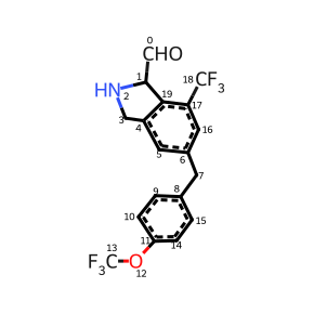 O=CC1NCc2cc(Cc3ccc(OC(F)(F)F)cc3)cc(C(F)(F)F)c21